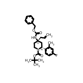 C=CC[C@]1(NC(=O)OCc2ccccc2)CCN(C(=O)OC(C)(C)C)[C@@H](c2ccc(F)cc2C)C1